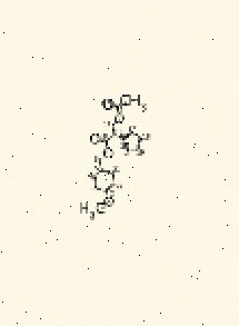 COc1ccc(COC(=O)C(COC(C)=O)c2cccs2)cc1